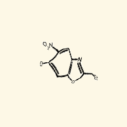 CCc1nc2cc([N+](=O)[O-])c(Cl)cc2o1